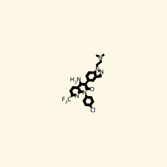 CN(C)CCn1ncc2cc(-c3c(N)c4ccc(C(F)(F)F)nc4n(-c4ccc(Cl)cc4)c3=O)ccc21